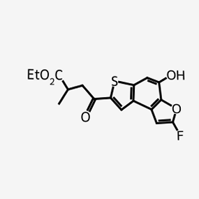 CCOC(=O)C(C)CC(=O)c1cc2c(cc(O)c3oc(F)cc32)s1